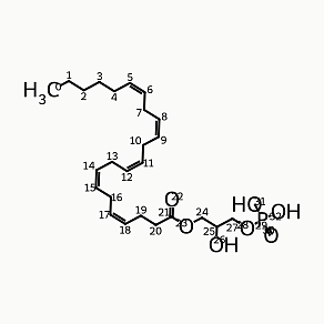 CCCCC/C=C\C/C=C\C/C=C\C/C=C\C/C=C\CCC(=O)OCC(O)COP(=O)(O)O